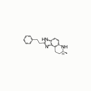 C[C@H]1CCc2c(ccc3[nH]c(CCc4ccccc4)nc23)N1